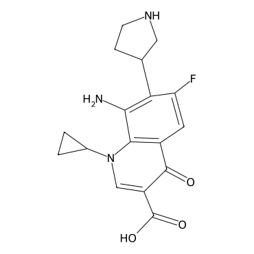 Nc1c(C2CCNC2)c(F)cc2c(=O)c(C(=O)O)cn(C3CC3)c12